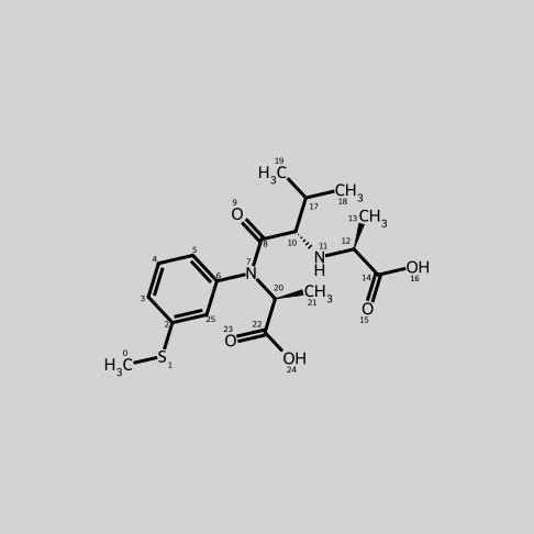 CSc1cccc(N(C(=O)[C@@H](N[C@@H](C)C(=O)O)C(C)C)[C@@H](C)C(=O)O)c1